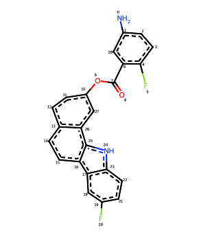 Nc1ccc(F)c(C(=O)Oc2ccc3ccc4c5cc(F)ccc5[nH]c4c3c2)c1